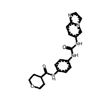 O=C(Nc1ccc(NC(=O)C2CCOCC2)cc1)Nc1ccc2nccn2c1